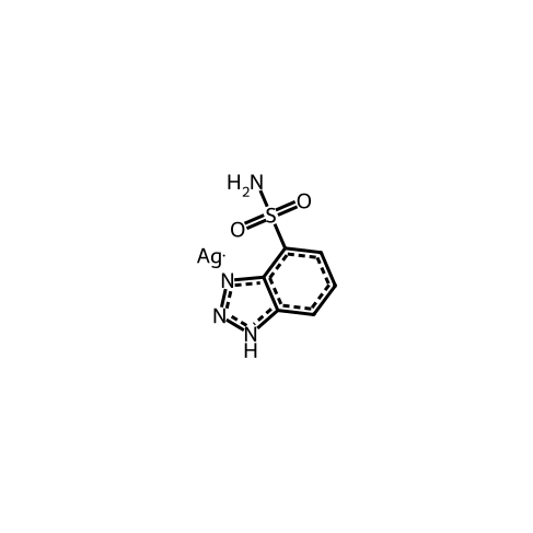 NS(=O)(=O)c1cccc2[nH]nnc12.[Ag]